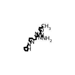 Cc1ccc(-c2nc(N)nc3c(Cc4cccc(NCc5ccccc5)n4)cnn23)o1